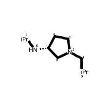 C[C](C)CN1CC[C@@H](NC(C)C)C1